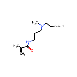 C=C(C)C(=O)NCCCN(C)CCC(=O)O